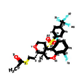 CC(=O)SCC[C@@H]1OCC[C@@]2(S(=O)(=O)c3ccc(C(F)(F)F)cc3)c3c(F)ccc(F)c3OC[C@@H]12